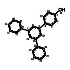 Oc1ccc(-c2cc(-c3ccccc3)cc(-c3ccccc3)c2)cc1